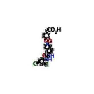 O=C(O)CC1CCC(OC(=O)N2CCc3cc(NC(=O)Nc4ccc(Cl)cc4Cl)ccc3C2)CC1